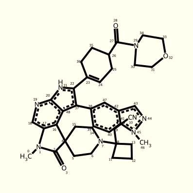 CN1C(=O)C2(CCN(C3(CC#N)CCC3)CC2)c2c1cnc1[nH]c(C3=CCC(C(=O)N4CCOCC4)CC3)c(-c3ccc4c(cnn4C)c3)c21